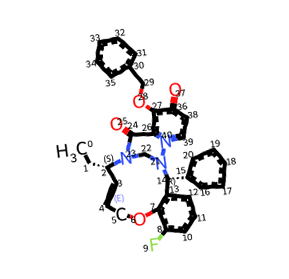 CC[C@H]1/C=C/COc2c(F)cccc2[C@@H](c2ccccc2)N2CN1C(=O)c1c(OCc3ccccc3)c(=O)ccn12